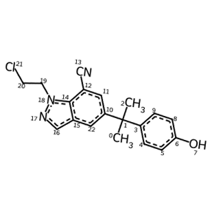 CC(C)(c1ccc(O)cc1)c1cc(C#N)c2c(cnn2CCCl)c1